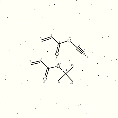 C=CC(=O)OC#N.C=CC(=O)OC(C)(C)C